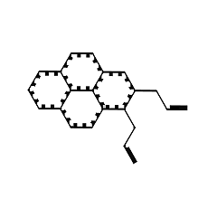 C=CCc1cc2ccc3cccc4ccc(c1CC=C)c2c34